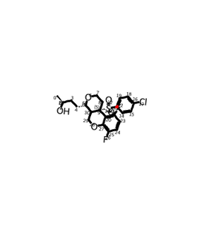 C[C@H](O)CC[C@@H]1OCC[C@@]2(S(=O)(=O)c3ccc(Cl)cc3)c3c(F)ccc(F)c3OCC12